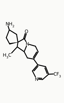 CC1C2CC(c3cncc(C(F)(F)F)c3)=CCN2C(=O)[C@]12CCC(N)C2